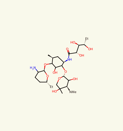 CC[C@@H]1CCC(N)[C@@H](OC2C(O)C(O[C@H]3OCC(C)(O)[C@H](NC)C3O)[C@H](NC(=O)[C@@H](O)[C@@H](O)[C@@H](O)CC)C[C@@H]2C)O1